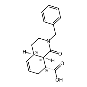 O=C(O)[C@@H]1CC=C[C@H]2CCN(Cc3ccccc3)C(=O)[C@H]21